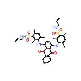 C=CCNS(=O)(=O)c1c(C)cc(C)c(Nc2ccc(Nc3c(C)cc(C)c(S(=O)(=O)NCC=C)c3C)c3c2C(=O)c2ccccc2C3=O)c1C